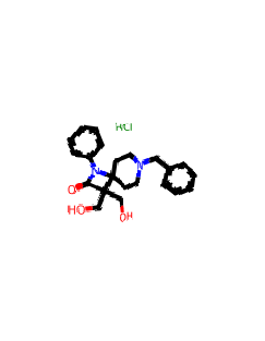 Cl.O=C1N(c2ccccc2)C2(CCN(Cc3ccccc3)CC2)C1(CO)CO